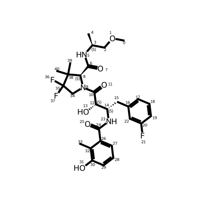 COC[C@H](C)NC(=O)[C@H]1N(C(=O)[C@@H](O)[C@H](Cc2cccc(F)c2)NC(=O)c2cccc(O)c2C)CC(F)(F)C1(C)C